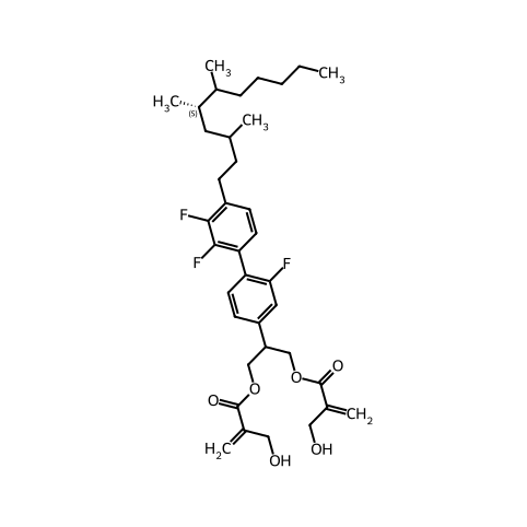 C=C(CO)C(=O)OCC(COC(=O)C(=C)CO)c1ccc(-c2ccc(CCC(C)C[C@H](C)C(C)CCCCC)c(F)c2F)c(F)c1